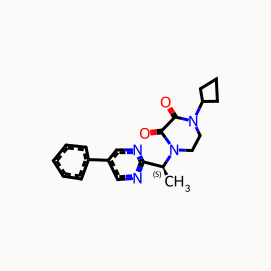 C[C@@H](c1ncc(-c2ccccc2)cn1)N1CCN(C2CCC2)C(=O)C1=O